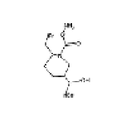 CCCCC(O)C1CCC(CC(C)C)N(C(=O)ON)C1